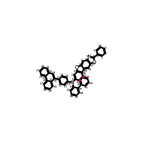 c1ccc(-c2nc3cc4oc5cc(N(c6ccc(-c7cc8ccccc8c8ccccc78)cc6)c6ccccc6-c6ccccc6)ccc5c4cc3o2)cc1